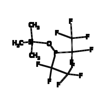 C[Si](C)(C)OP(C(F)(F)C(F)(F)F)C(F)(F)C(F)(F)F